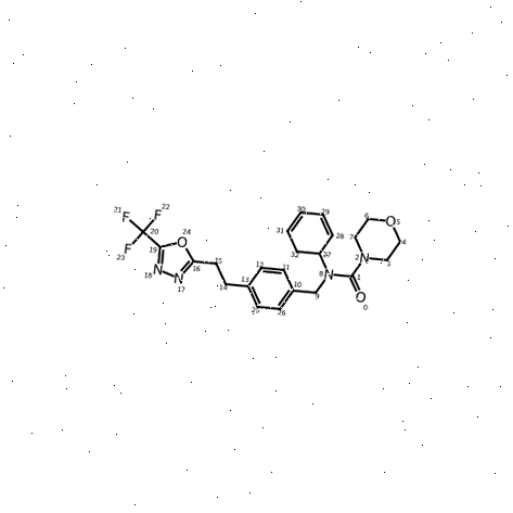 O=C(N1CCOCC1)N(Cc1ccc(CCc2nnc(C(F)(F)F)o2)cc1)C1C=CC=CC1